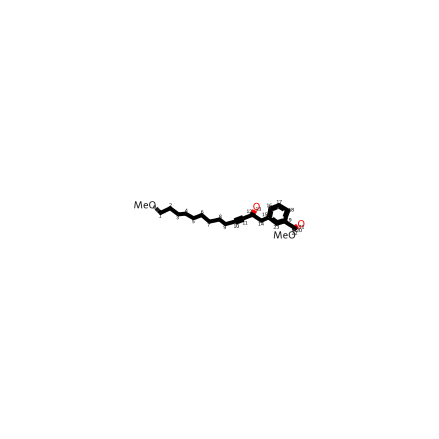 COCCCCCCCCCC#CC(=O)Cc1cccc(C(=O)OC)c1